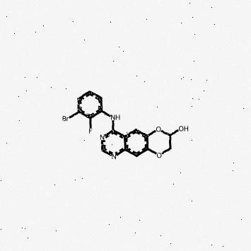 OC1COc2cc3ncnc(Nc4cccc(Br)c4F)c3cc2O1